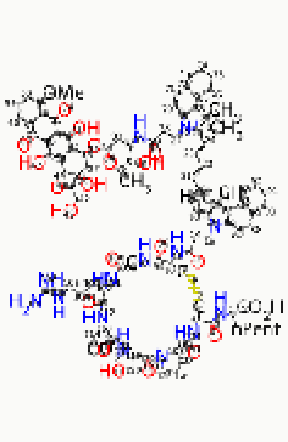 CCCCCC(NC(=O)[C@@H]1CSSC[C@@H](NC(=O)CCN2/C(=C/C=C/C=C/C=C/C3=[N+](CCC(=O)N[C@H]4C[C@H](O[C@H]5C[C@](O)(C(=O)CO)Cc6c(O)c7c(c(O)c65)C(=O)c5c(OC)cccc5C7=O)O[C@@H](C)[C@H]4O)c4ccc5ccccc5c4C3(C)C)C(C)(C)c3c2ccc2ccccc32)C(=O)NCC(=O)N[C@@H](CCCNC(=N)N)C(=O)N[C@@H](CC(=O)O)C(=O)N[C@@H](CO)C(=O)N2CCCC2C(=O)N1)C(=O)O